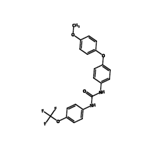 COc1ccc(Oc2ccc(NC(=O)Nc3ccc(OC(F)(F)F)cc3)cc2)cc1